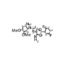 COc1cc2ncn(-c3cc(OCc4cc(F)ccc4F)c(C(N)=O)s3)c2cc1OC